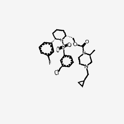 CC1CN(CC2CC2)CCN1C(=O)OC[C@H]1CCC[C@@H](c2cccc(F)c2)N1S(=O)(=O)c1cccc(Cl)c1